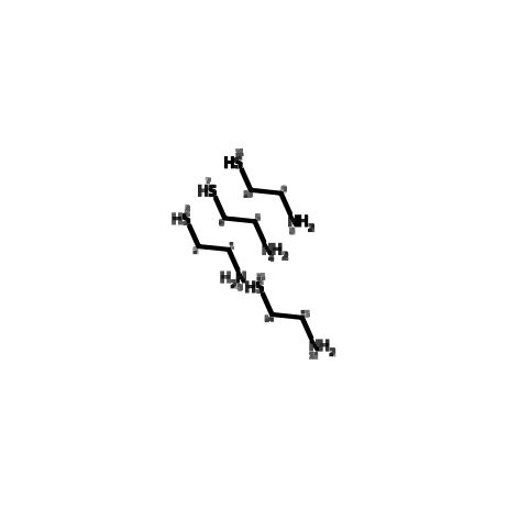 NCCS.NCCS.NCCS.NCCS